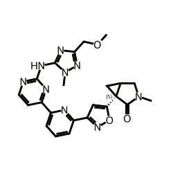 COCc1nc(Nc2nccc(-c3cccc(-c4cc([C@]56CC5CN(C)C6=O)on4)n3)n2)n(C)n1